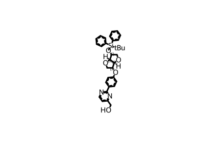 CC(C)(C)[Si](O[C@H]1CO[C@@H]2[C@@H]1OC[C@@H]2Oc1ccc(-c2nccc(CO)n2)cc1)(c1ccccc1)c1ccccc1